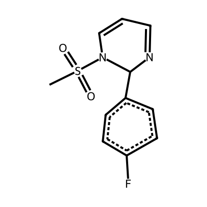 CS(=O)(=O)N1C=CC=NC1c1ccc(F)cc1